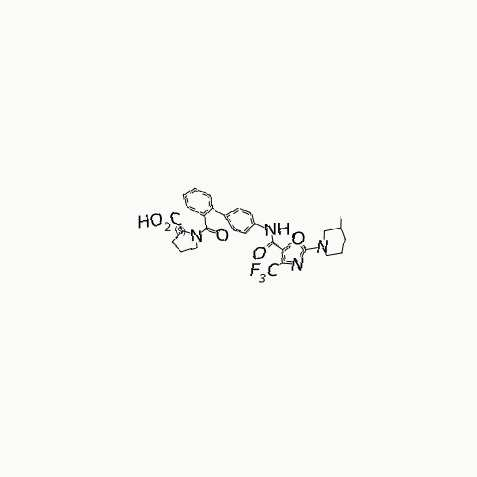 CC1CCCN(c2nc(C(F)(F)F)c(C(=O)Nc3ccc(-c4ccccc4C(=O)N4CCC[C@H]4C(=O)O)cc3)o2)C1